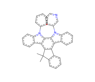 CC1(C)c2ccccc2-c2c1c1c3ccccc3n(-c3ccccc3)c1c1c2c2ccccc2n1-c1cccnc1